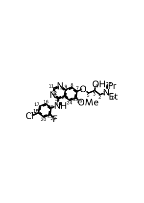 CCN(CC(O)COc1cc2ncnc(Nc3ccc(Cl)cc3F)c2cc1OC)C(C)C